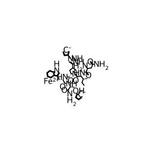 CC[C@H](C)[C@H](NC(=O)[C@@H](N)CC(N)=O)C(=O)N1CC(C2=CN(c3cc[cH-]c3)NN2)C[C@H]1C(=O)N[C@@H](Cc1c[nH]c2ccccc12)C(=O)N[C@@H](CO)C(N)=O.[Fe+2].c1cc[cH-]c1